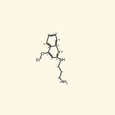 CCOc1cc(NCCCN)nc2ccccc12